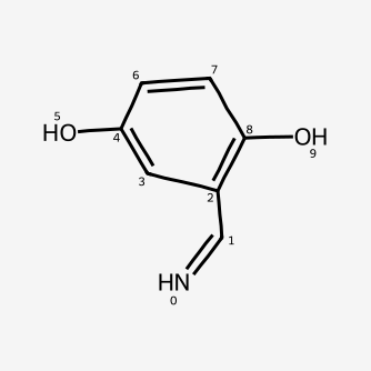 N=Cc1cc(O)ccc1O